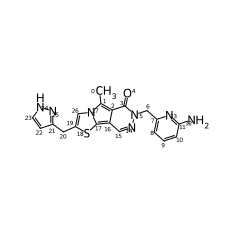 Cc1c2c(=O)n(Cc3cccc(N)n3)ncc2c2sc(Cc3cc[nH]n3)cn12